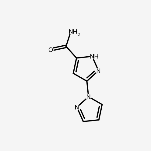 NC(=O)c1cc(-n2cccn2)n[nH]1